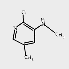 CNc1cc(C)cnc1Cl